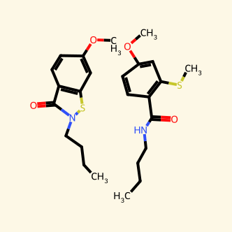 CCCCNC(=O)c1ccc(OC)cc1SC.CCCCn1sc2cc(OC)ccc2c1=O